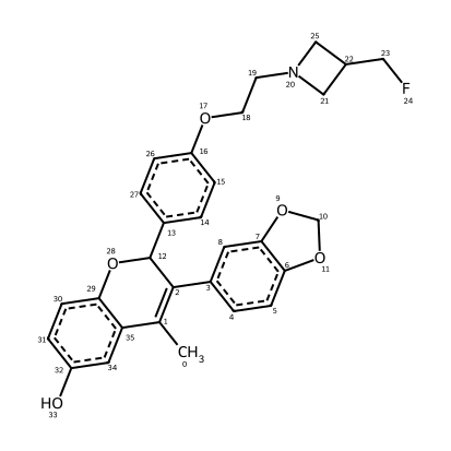 CC1=C(c2ccc3c(c2)OCO3)C(c2ccc(OCCN3CC(CF)C3)cc2)Oc2ccc(O)cc21